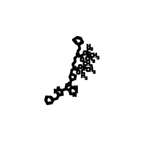 CC(C)(C)OC(=O)N(CCCN(CC1CCC(n2cc(-c3cc(Cc4ccccc4)ns3)c3cncnc32)C1)C(=O)OC(C)(C)C)CCc1ccccc1